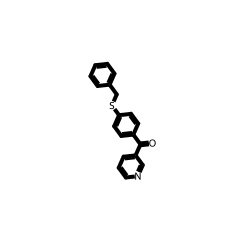 O=C(c1ccc(SCc2ccccc2)cc1)c1cccnc1